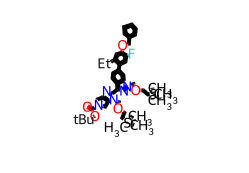 CCc1cc(OCc2ccccc2)c(F)cc1-c1ccc2c(-c3nc4c(n3COCC[Si](C)(C)C)CN(C(=O)OC(C)(C)C)C4)nn(COCC[Si](C)(C)C)c2c1